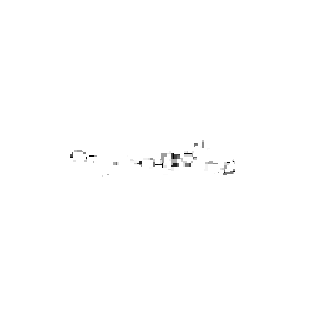 O=C(NS(=O)(=O)c1ccc(NCCSc2ccccc2)c([N+](=O)[O-])c1)c1ccc(N2CCN(C(=O)COCc3ccccc3)CC2)cc1